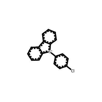 Clc1ccc(-[s+]2c3ccccc3c3ccccc32)cc1